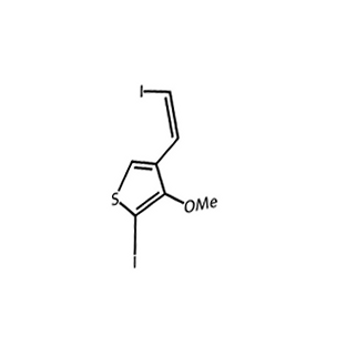 COc1c(/C=C\I)csc1I